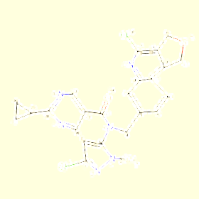 Cn1nc(Cl)cc1N(Cc1ccc2c3c(c(Cl)nc2c1)COC3)C(=O)c1cnc(C2CC2)nc1